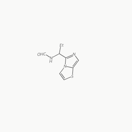 CCC(NC=O)c1ncc2sccn12